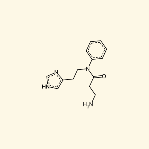 NCCC(=O)N(CCc1c[nH]cn1)c1ccccc1